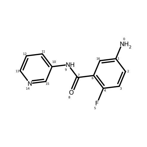 Nc1ccc(F)c(C(=O)Nc2cccnc2)c1